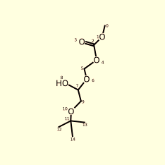 COC(=O)OCOC(O)COC(C)(C)C